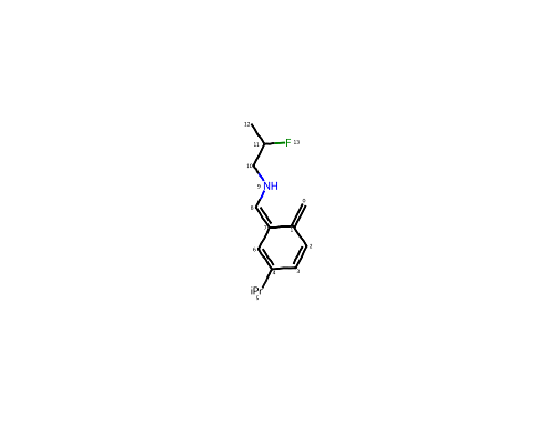 C=c1ccc(C(C)C)c/c1=C/NCC(C)F